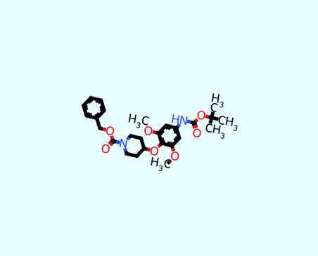 COc1cc(NC(=O)OC(C)(C)C)cc(OC)c1OC1CCN(C(=O)OCc2ccccc2)CC1